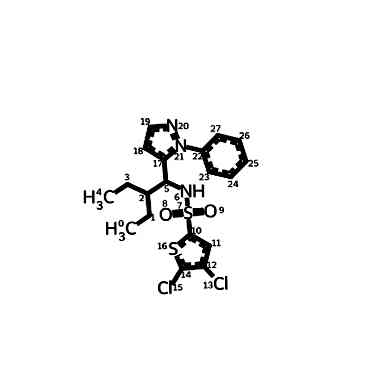 CCC(CC)C(NS(=O)(=O)c1cc(Cl)c(Cl)s1)c1ccnn1-c1ccccc1